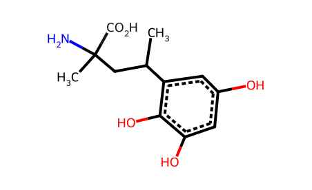 CC(CC(C)(N)C(=O)O)c1cc(O)cc(O)c1O